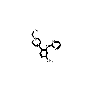 C[C](C)CN1CCN(c2ccc(C(F)(F)F)cc2Oc2ncccn2)CC1